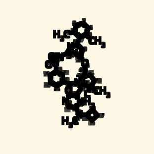 Cc1cccc(C)c1-c1cc2nc(n1)NS(=O)(=O)c1cccc(c1)C(=O)N(Cc1cncc(N(C)C3CCC3)n1)C1(CCC(C)(C)C1)CO2